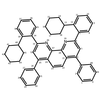 c1ccc(-c2cc(-c3ccccc3C3CCCCC3)nc3c2ccc2c(-c4ccccc4)cc(-c4ccccc4C4CCCCC4)nc23)cc1